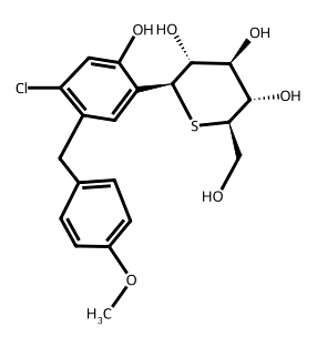 COc1ccc(Cc2cc([C@@H]3S[C@H](CO)[C@@H](O)[C@H](O)[C@H]3O)c(O)cc2Cl)cc1